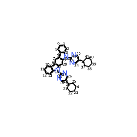 c1ccc2c(c1)c1cc3c4ccccc4n(-c4ncc(C5CCCCC5)cn4)c3cc1n2-c1ncc(C2CCCCC2)cn1